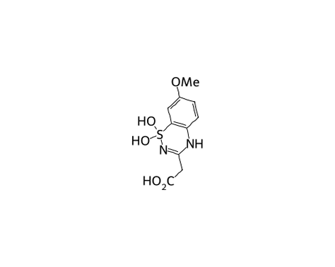 COc1ccc2c(c1)S(O)(O)N=C(CC(=O)O)N2